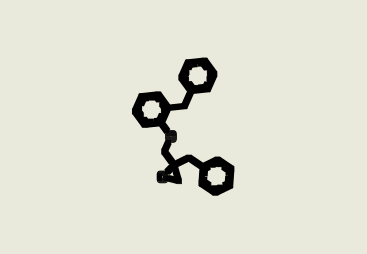 c1ccc(Cc2ccccc2OCC2(Cc3ccccc3)CO2)cc1